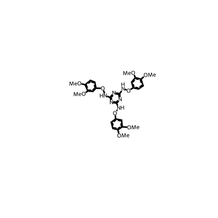 COc1ccc(ONc2nc(NOc3ccc(OC)c(OC)c3)nc(NOc3ccc(OC)c(OC)c3)n2)cc1OC